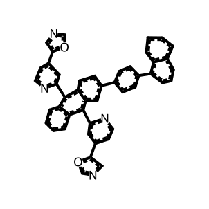 c1ccc2c(-c3ccc(-c4ccc5c(-c6cc(-c7cnco7)ccn6)c6ccccc6c(-c6cc(-c7cnco7)ccn6)c5c4)cc3)cccc2c1